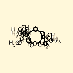 CCn1c(-c2cccnc2[C@H](C)OC)c2c3cc(ccc31)-c1cccc(c1)C[C@]([SiH3])(NC(=O)[C@H](C(C)C)N(C)C(=O)N1CC(OC)C1)C(=O)N1CCC[C@H](N1)C(=O)OCC(C)(C)C2